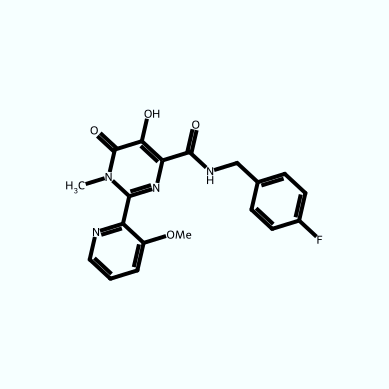 COc1cccnc1-c1nc(C(=O)NCc2ccc(F)cc2)c(O)c(=O)n1C